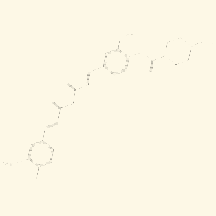 COc1cc(/C=C/C(=O)CC(=O)/C=C/c2ccc(OC(=O)N3CCN(C)CC3)c(OC)c2)ccc1O